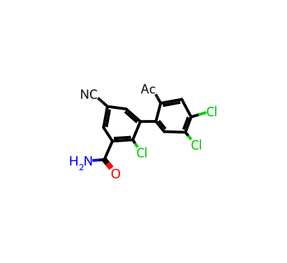 CC(=O)c1cc(Cl)c(Cl)cc1-c1cc(C#N)cc(C(N)=O)c1Cl